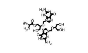 CC(C)[C@H](N)C(=O)OCC(CO)OCn1cnc2c(=O)nc(N)[nH]c21.Nc1nc2c(ncn2COC(CO)CO)c(=O)[nH]1